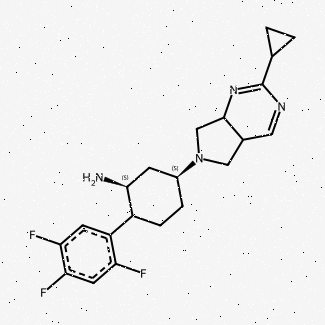 N[C@H]1C[C@@H](N2CC3C=NC(C4CC4)=NC3C2)CCC1c1cc(F)c(F)cc1F